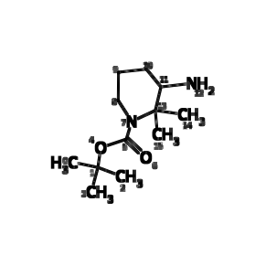 CC(C)(C)OC(=O)N1CCCC(N)C1(C)C